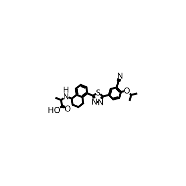 CC(C)Oc1ccc(-c2nnc(-c3cccc4c3CCCC4NC(C)C(=O)O)s2)cc1C#N